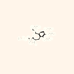 COCOC1C[C@H](N(C)C(=O)O)CCc2c1cc(OC)c(OC)c2OC